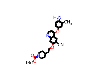 Cc1cc(Oc2ccnc3cc(OCCC4CCN(C(=O)OC(C)(C)C)CC4)c(C#N)cc23)ccc1N